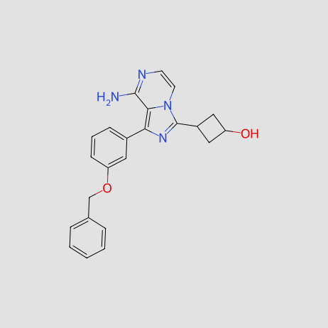 Nc1nccn2c(C3CC(O)C3)nc(-c3cccc(OCc4ccccc4)c3)c12